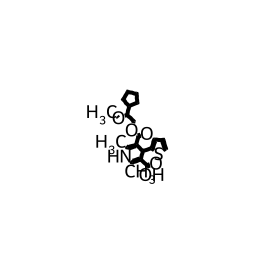 COC(COC(=O)C1=C(C)NC(C)=C(C(=O)O)C1c1cccs1)C1CCCC1